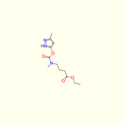 CCOC(=O)CCCN(C)C(=O)Oc1cc(C)n[nH]1